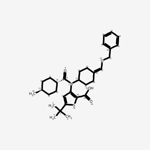 CC(C)(C)c1cc(N(C(=O)[C@H]2CC[C@H](C)CC2)C2CCC(=COCc3ccccc3)CC2)c(C(=O)O)s1